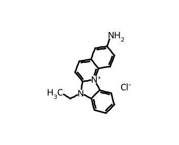 CCn1c2ccccc2[n+]2c3ccc(N)cc3ccc12.[Cl-]